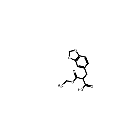 CCOC(=O)C(Cc1ccc2c(c1)OCO2)C(=O)O